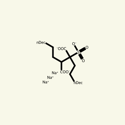 CCCCCCCCCCCCC(C(=O)[O-])C(CCCCCCCCCCCC)(C(=O)[O-])S(=O)(=O)[O-].[Na+].[Na+].[Na+]